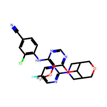 COc1c(Nc2ccc(C#N)cc2Cl)ncnc1OC1C2COCC1CN(c1ncc(F)cn1)C2